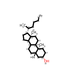 CC(C)CCCC(C)[C@H]1CCC2C3CC[C@H]4C[C@@H](O)CC[C@]4(C)C3CC[C@@]21C